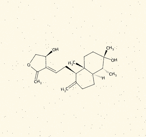 C=C1OC[C@@H](O)/C1=C\C[C@@H]1C(=C)CC[C@@H]2[C@@H](C)[C@@](C)(O)CC[C@@]12C